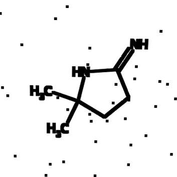 CC1(C)CCC(=N)N1